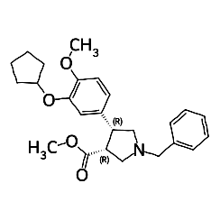 COC(=O)[C@H]1CN(Cc2ccccc2)C[C@H]1c1ccc(OC)c(OC2CCCC2)c1